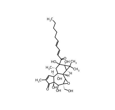 CCCCC/C=C/C=C/C(=O)C1(O)[C@@H](C)[C@@]2(O)[C@@H](C3O[C@@]3(CO)C(O)[C@]3(O)C(=O)C(C)=C[C@@H]23)[C@@H]2C(C)(C)[C@@]21O